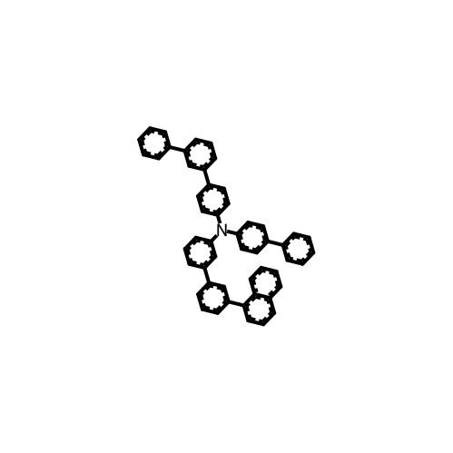 c1ccc(-c2ccc(N(c3ccc(-c4cccc(-c5ccccc5)c4)cc3)c3cccc(-c4cccc(-c5cccc6ccccc56)c4)c3)cc2)cc1